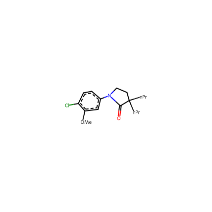 CCCC1(CCC)CCN(c2ccc(Cl)c(OC)c2)C1=O